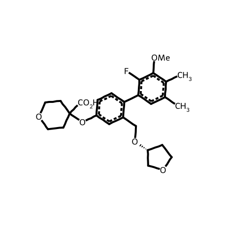 COc1c(C)c(C)cc(-c2ccc(OC3(C(=O)O)CCOCC3)cc2CO[C@@H]2CCOC2)c1F